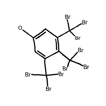 [O]c1cc(C(Br)(Br)Br)c(C(Br)(Br)Br)c(C(Br)(Br)Br)c1